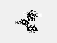 OC[C@H]1O[C@@H]2OC(c3cn(Cc4ccc5ccccc5c4)c4cc(O)ccc34)=N[C@@H]2C(O)[C@@H]1O